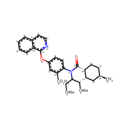 COCC(COC)N(c1ccc(Oc2nccc3ccccc23)cc1C(=O)O)C(=O)[C@H]1CC[C@H](C)CC1